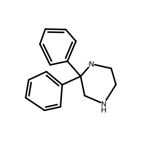 c1ccc(C2(c3ccccc3)CNCC[N]2)cc1